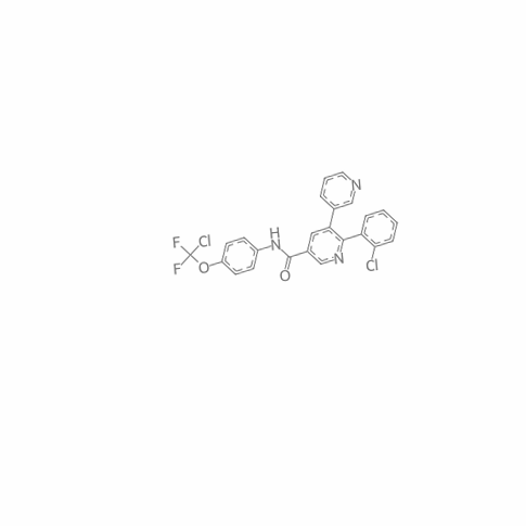 O=C(Nc1ccc(OC(F)(F)Cl)cc1)c1cnc(-c2ccccc2Cl)c(-c2cccnc2)c1